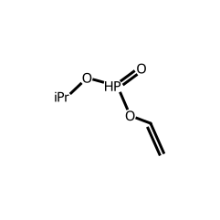 C=CO[PH](=O)OC(C)C